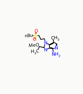 CCCCS(=O)(=O)CCCn1c(C(C)OC)nc2c(N)ncc(C)c21